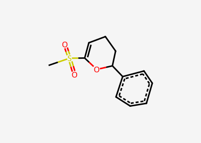 CS(=O)(=O)C1=CCCC(c2ccccc2)O1